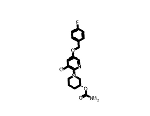 NC(=O)O[C@@H]1CCCN(c2ncc(OCc3ccc(F)cc3)cc2Cl)C1